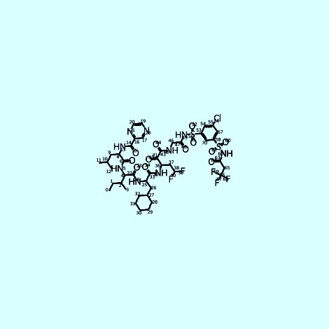 CCC(C)C(NC(=O)C(CC(C)C)NC(=O)c1cnccn1)C(=O)NC(CC1CCCCC1)C(=O)NC(CC(F)F)C(=O)C(=O)NCC(=O)NS(=O)(=O)c1cc(Cl)cc(S(=O)(=O)NC(=O)CC(F)(F)F)c1